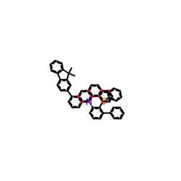 CC1(C)c2ccccc2-c2ccc(-c3cccc(N(c4cccc(-c5ccccc5)c4-c4ccccc4-c4ccccc4)c4cccc5c4sc4ccccc45)c3)cc21